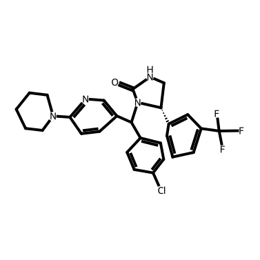 O=C1NC[C@H](c2cccc(C(F)(F)F)c2)N1C(c1ccc(Cl)cc1)c1ccc(N2CCCCC2)nc1